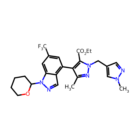 CCOC(=O)c1c(-c2cc(C(F)(F)F)cc3c2cnn3C2CCCCO2)c(C)nn1Cc1cnn(C)c1